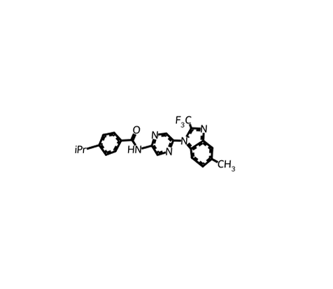 Cc1ccc2c(c1)nc(C(F)(F)F)n2-c1cnc(NC(=O)c2ccc(C(C)C)cc2)cn1